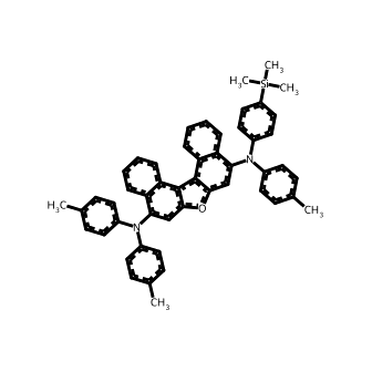 Cc1ccc(N(c2ccc(C)cc2)c2cc3oc4cc(N(c5ccc(C)cc5)c5ccc([Si](C)(C)C)cc5)c5ccccc5c4c3c3ccccc23)cc1